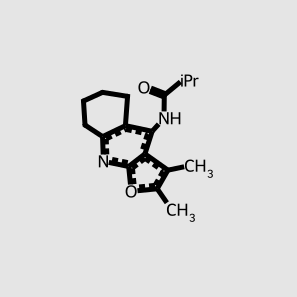 Cc1oc2nc3c(c(NC(=O)C(C)C)c2c1C)CCCC3